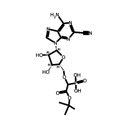 CC(C)(C)OC(=O)C(OC[C@H]1O[C@@H](n2cnc3c(N)nc(C#N)nc32)[C@H](O)[C@H]1O)P(=O)(O)O